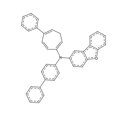 C1=CC(N(c2ccc(-c3ccccc3)cc2)c2ccc3oc4ccccc4c3c2)=CCC=C1c1ccccc1